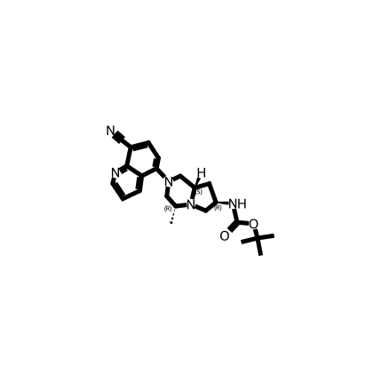 C[C@@H]1CN(c2ccc(C#N)c3ncccc23)C[C@@H]2C[C@@H](NC(=O)OC(C)(C)C)CN21